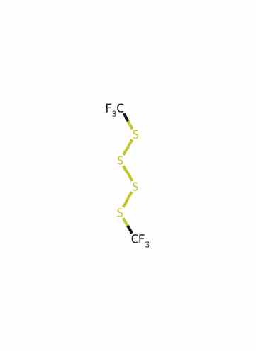 FC(F)(F)SSSSC(F)(F)F